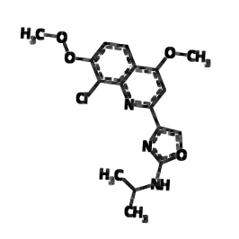 COOc1ccc2c(OC)cc(-c3coc(NC(C)C)n3)nc2c1Cl